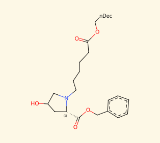 CCCCCCCCCCCOC(=O)CCCCCN1CC(O)C[C@H]1C(=O)OCc1ccccc1